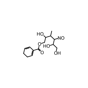 CC(C(O)COC(=O)C1=CCCC=C1)C(N=O)C(O)CO